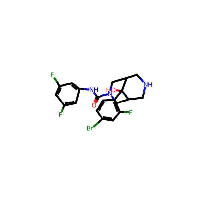 O=C(Nc1cc(F)cc(F)c1)N1CC2CNCC(C1)C2(O)c1ccc(Br)cc1F